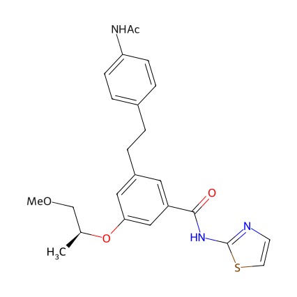 COC[C@H](C)Oc1cc(CCc2ccc(NC(C)=O)cc2)cc(C(=O)Nc2nccs2)c1